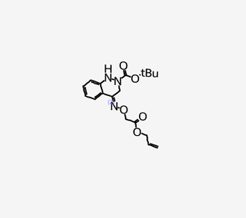 C=CCOC(=O)CO/N=C1\CN(C(=O)OC(C)(C)C)Nc2ccccc21